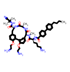 CCCCc1ccc(-c2ccc(C(=O)N[C@@H](CCCCN)C(=O)N(C)[C@@H]3C(=O)N[C@@H](C)C(=O)N[C@H](C(=O)NC(C)(C)C#N)Cc4ccc(OCCN)c(c4)-c4cc3ccc4OCCN)cc2)cc1